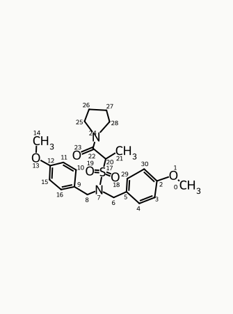 COc1ccc(CN(Cc2ccc(OC)cc2)S(=O)(=O)C(C)C(=O)N2CCCC2)cc1